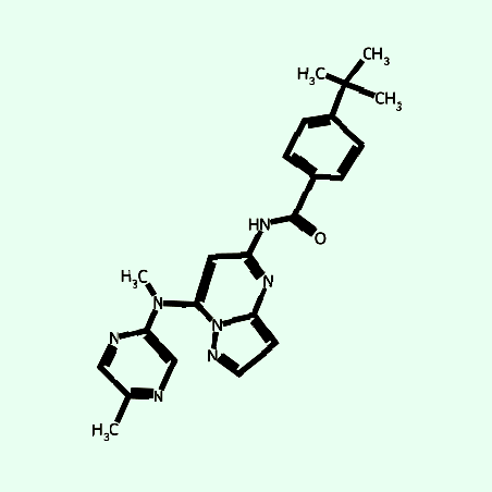 Cc1cnc(N(C)c2cc(NC(=O)c3ccc(C(C)(C)C)cc3)nc3ccnn23)cn1